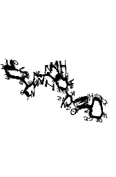 Cc1ccc(-c2ccnc3[nH]c(-c4n[nH]c5cc(F)c(-c6cncc(NC(=O)C7CCCCC7)c6)cc45)nc23)s1